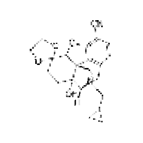 N#Cc1ccc2c3c1OC1C4(CCC5(O)[C@@H](C2)N(CC2CC2)CC[C@]315)OCCO4